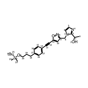 CC(O)c1nccn1Cc1cc(C#Cc2ccc(CCCO[Si](C)(C)C(C)(C)C)cc2)on1